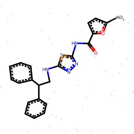 O=C(Nc1nnc(NCC(c2ccccc2)c2ccccc2)s1)c1ccc([N+](=O)[O-])o1